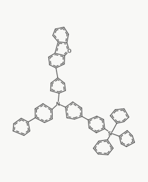 c1ccc(-c2ccc(N(c3ccc(-c4ccc([Si](c5ccccc5)(c5ccccc5)c5ccccc5)cc4)cc3)c3ccc(-c4ccc5c(c4)oc4ccccc45)cc3)cc2)cc1